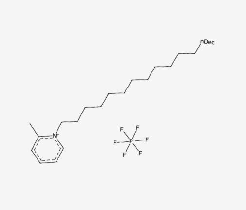 CCCCCCCCCCCCCCCCCCCCCC[n+]1ccccc1C.F[P-](F)(F)(F)(F)F